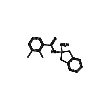 CCOC(=O)C1(NC(=O)c2cccc(C)c2C)Cc2ccccc2C1